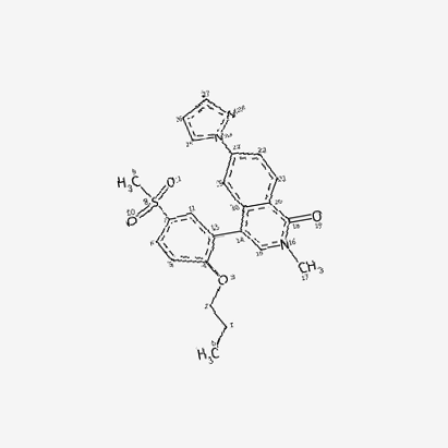 CCCOc1ccc(S(C)(=O)=O)cc1-c1cn(C)c(=O)c2ccc(-n3cccn3)cc12